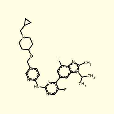 Cc1nc2c(F)cc(-c3nc(Nc4ccc(COC5CCN(CC6CC6)CC5)cn4)ncc3F)cc2n1C(C)C